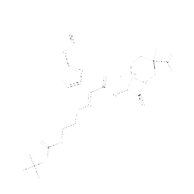 CC(C)(C)OC(=O)NCCON=C(C(=O)NC1C(=O)N2CC(C)(C(=O)O)CS[C@H]12)c1csc(NC=O)n1